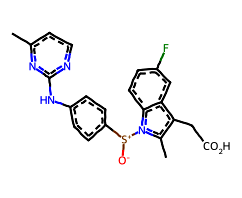 Cc1ccnc(Nc2ccc([S+]([O-])n3c(C)c(CC(=O)O)c4cc(F)ccc43)cc2)n1